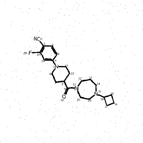 N#Cc1ccc(N2CCC(C(=O)N3CCCN(C4CCC4)CC3)CC2)cc1F